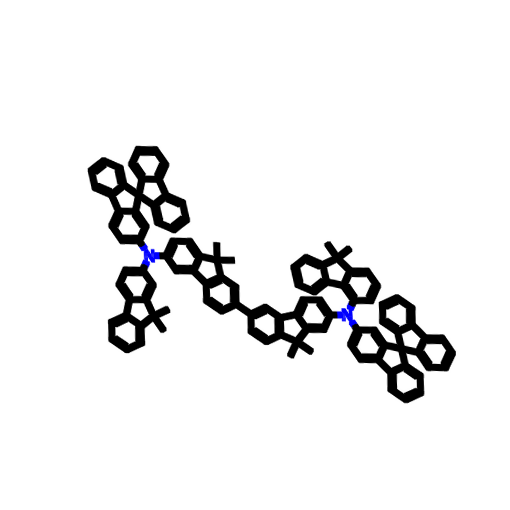 CC1(C)c2ccc(N(c3ccc4c(c3)C(C)(C)c3ccccc3-4)c3ccc4c(c3)C3(c5ccccc5-c5ccccc53)c3ccccc3-4)cc2-c2ccc(-c3ccc4c(c3)-c3ccc(N(c5ccc6c(c5)C5(c7ccccc7-c7ccccc75)c5ccccc5-6)c5cccc6c5-c5ccccc5C6(C)C)cc3C4(C)C)cc21